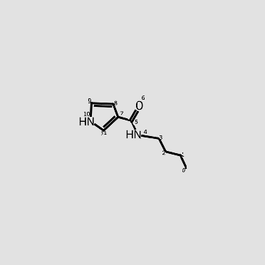 CCCCNC(=O)c1cc[nH]c1